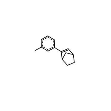 Cc1cccc(C2=CC3CCC2C3)c1